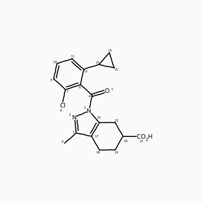 Cc1nn(C(=O)c2c(Cl)cccc2C2CC2)c2c1CCC(C(=O)O)C2